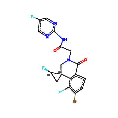 O=C(CN1C[C@@]2(C[C@H]2F)c2c(ccc(Br)c2F)C1=O)Nc1ncc(F)cn1